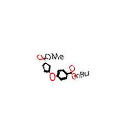 CCCCOC(=O)c1ccc(O[C@@H]2CC[C@H](C(=O)OC)C2)cc1